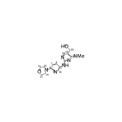 CNc1nc(Nc2ccc(N3CCOCC3)nc2)ncc1CO